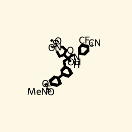 CNS(=O)(=O)c1ccc(-c2cccc(CC(O)(C(=O)Nc3ccc(C#N)c(C(F)(F)F)c3)C3CCN(S(C)(=O)=O)CC3)c2)cc1